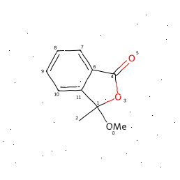 COC1(C)OC(=O)c2ccccc21